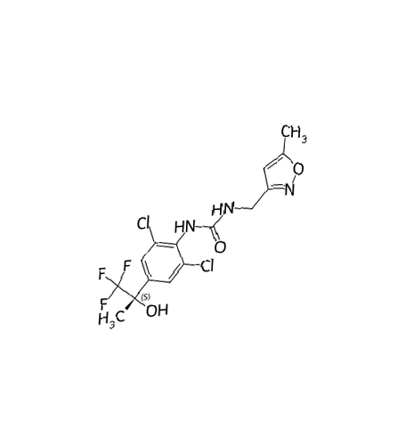 Cc1cc(CNC(=O)Nc2c(Cl)cc([C@](C)(O)C(F)(F)F)cc2Cl)no1